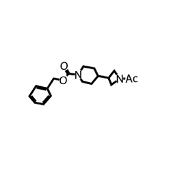 CC(=O)N1CC(C2CCN(C(=O)OCc3ccccc3)CC2)C1